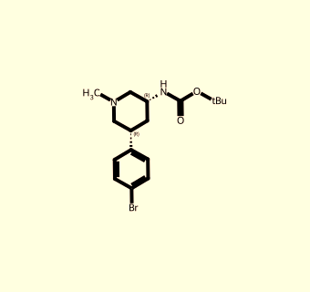 CN1C[C@H](NC(=O)OC(C)(C)C)C[C@H](c2ccc(Br)cc2)C1